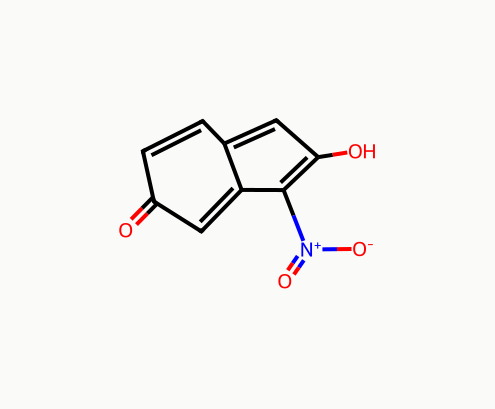 O=C1C=CC2=CC(O)=C([N+](=O)[O-])C2=C1